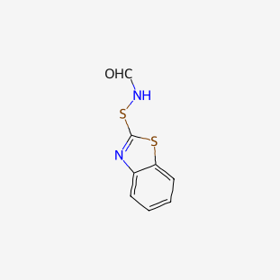 O=CNSc1nc2ccccc2s1